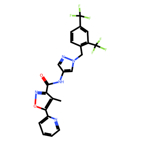 Cc1c(C(=O)Nc2cnn(Cc3ccc(C(F)(F)F)cc3C(F)(F)F)c2)noc1-c1ccccn1